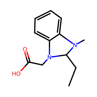 CCC1N(C)c2ccccc2N1CC(=O)O